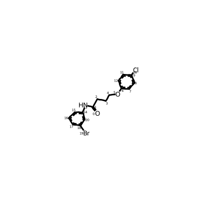 O=C(CCCOc1ccc(Cl)cc1)Nc1cccc(Br)c1